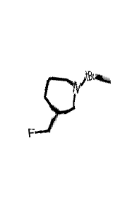 CC(C)(C)N1CC[C@H](CF)C1